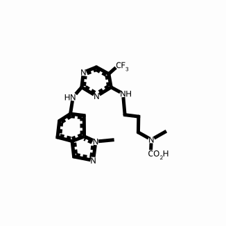 CN(CCCNc1nc(Nc2ccc3cnn(C)c3c2)ncc1C(F)(F)F)C(=O)O